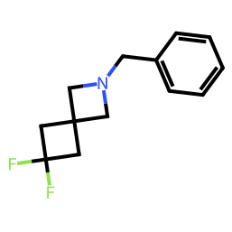 FC1(F)CC2(CN(Cc3ccccc3)C2)C1